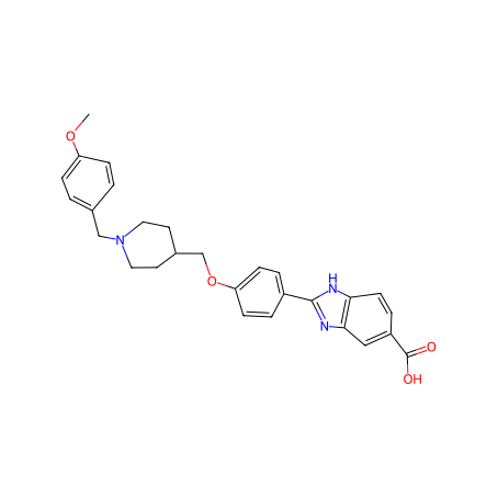 COc1ccc(CN2CCC(COc3ccc(-c4nc5cc(C(=O)O)ccc5[nH]4)cc3)CC2)cc1